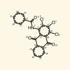 O=C(Nc1c(Cl)c(Cl)c(Cl)c2c1C(=O)c1ccccc1C2=O)c1ccccc1